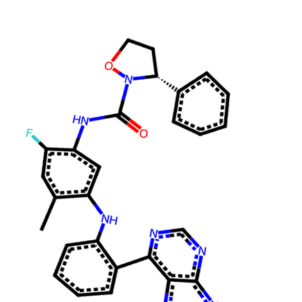 Cc1cc(F)c(NC(=O)N2OCC[C@@H]2c2ccccc2)cc1Nc1ccccc1-c1ncnc2[nH]cnc12